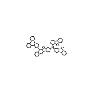 CC1(C)c2ccccc2-c2ccc(N(c3ccc4c(c3)oc3c(-c5ccc6c7ccccc7c7ccccc7c6c5)c5ccccc5cc34)c3cccc4c3oc3ccccc34)cc21